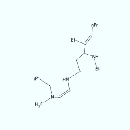 CCC/C=C(\CC)C(CCN/C=C\N(C)CC(C)C)NCC